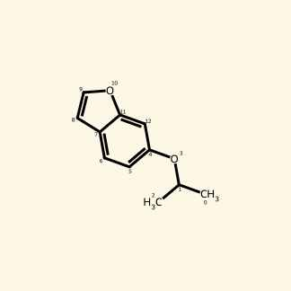 CC(C)Oc1ccc2ccoc2c1